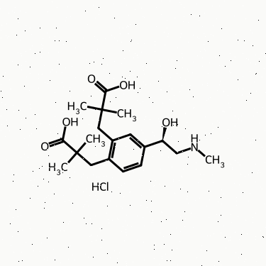 CNC[C@H](O)c1ccc(CC(C)(C)C(=O)O)c(CC(C)(C)C(=O)O)c1.Cl